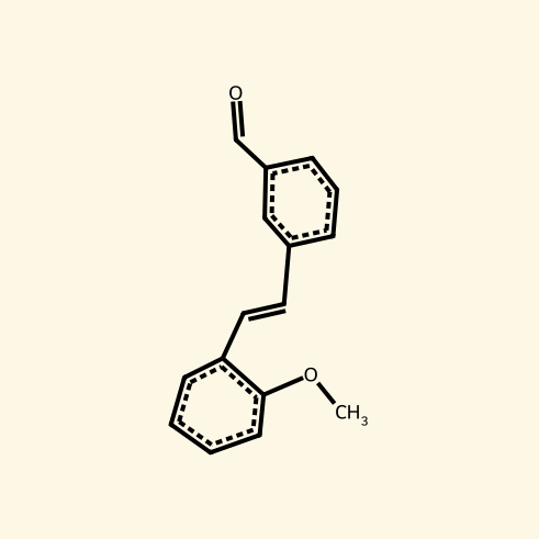 COc1ccccc1C=Cc1cccc(C=O)c1